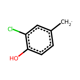 [CH2]c1ccc(O)c(Cl)c1